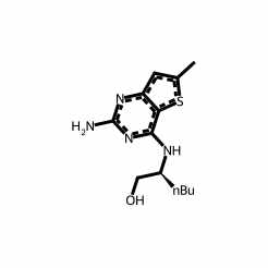 CCCC[C@@H](CO)Nc1nc(N)nc2cc(C)sc12